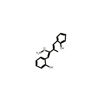 CC(=Cc1ccccc1O)C(=Cc1ccccc1O)NN